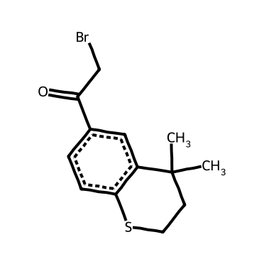 CC1(C)CCSc2ccc(C(=O)CBr)cc21